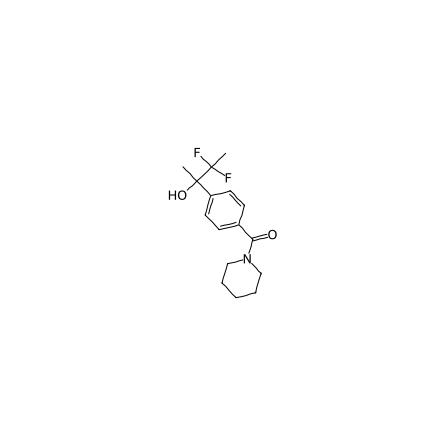 CC(F)(F)C(C)(O)c1ccc(C(=O)N2CCCCC2)cc1